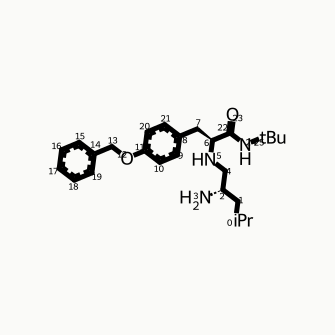 CC(C)C[C@H](N)CN[C@@H](Cc1ccc(OCc2ccccc2)cc1)C(=O)NC(C)(C)C